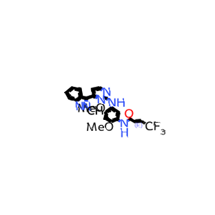 COc1cc(OC)c(Nc2nccc(-c3c4ccccc4nn3C)n2)cc1NC(=O)/C=C/C(F)(F)F